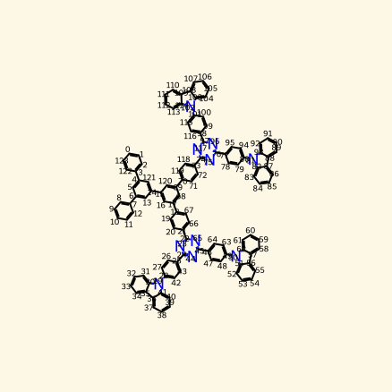 c1ccc(-c2cc(-c3ccccc3)cc(-c3cc(-c4ccc(-c5nc(-c6ccc(-n7c8ccccc8c8ccccc87)cc6)nc(-c6ccc(-n7c8ccccc8c8ccccc87)cc6)n5)cc4)cc(-c4ccc(-c5nc(-c6ccc(-n7c8ccccc8c8ccccc87)cc6)nc(-c6ccc(-n7c8ccccc8c8ccccc87)cc6)n5)cc4)c3)c2)cc1